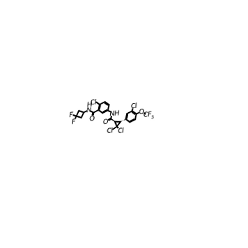 O=C(NC1CC(F)(F)C1)c1cc(NC(=O)[C@H]2[C@H](c3ccc(OC(F)(F)F)c(Cl)c3)C2(Cl)Cl)ccc1Cl